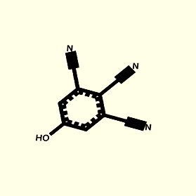 N#Cc1cc(O)cc(C#N)c1C#N